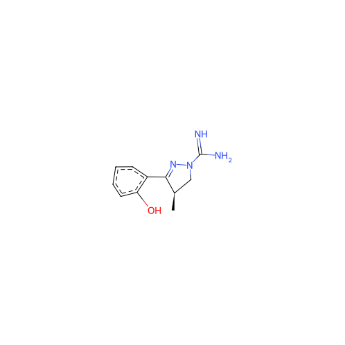 C[C@@H]1CN(C(=N)N)N=C1c1ccccc1O